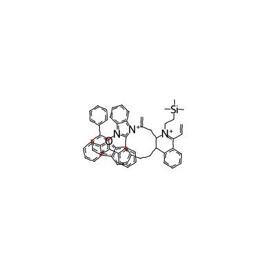 C=CC1=[N+](CC[Si](C)(C)C)C2CC(=C)[n+]3c(n(-c4c(-c5ccccc5)cccc4-c4ccccc4)c4ccccc43)-c3c(ccc4c3oc3ccccc34)CCC2c2ccccc21